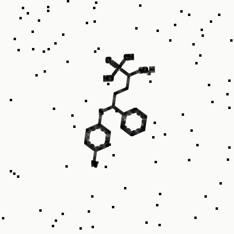 O=P(O)(O)C(CCC(Sc1ccc(Br)cc1)c1ccccc1)S(=O)(=O)O